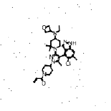 C=CC(=O)N1CCC(n2nc(N3CCC(N(CC)C4COC4)CC3(C)C)c(-c3c(Cl)c(C)cc4[nH]ncc34)c2C)CC1